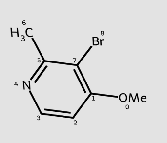 COc1ccnc(C)c1Br